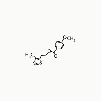 COc1ccc(C(=O)OCCc2scnc2C)cc1